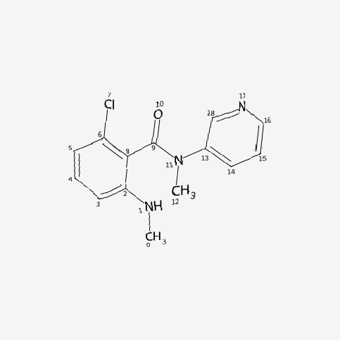 CNc1cccc(Cl)c1C(=O)N(C)c1cccnc1